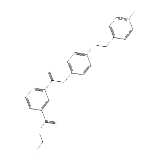 CCOC(=O)c1ccnc(C(=O)Cc2ccc(OCc3ccc(F)cc3)cc2)c1